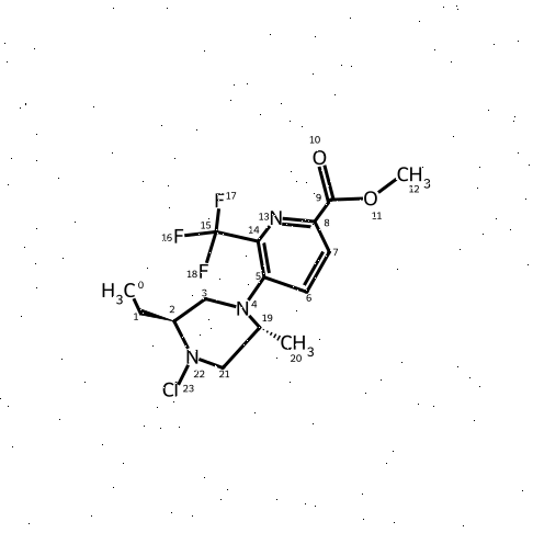 CC[C@H]1CN(c2ccc(C(=O)OC)nc2C(F)(F)F)[C@H](C)CN1Cl